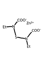 CCN(SN(CC)C(=O)[O-])C(=O)[O-].[Zn+2]